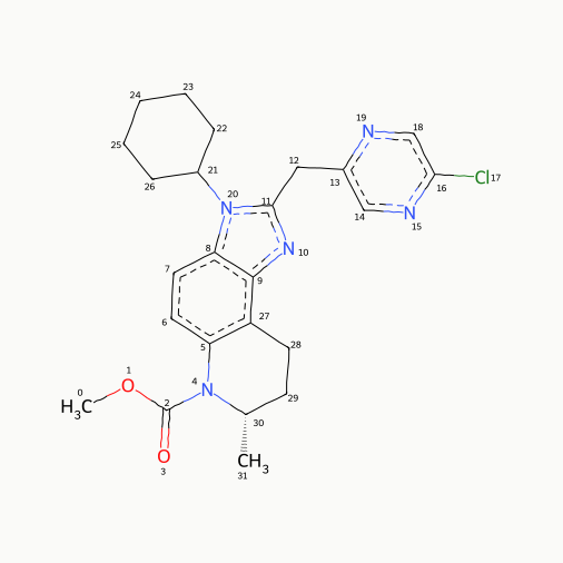 COC(=O)N1c2ccc3c(nc(Cc4cnc(Cl)cn4)n3C3CCCCC3)c2CC[C@@H]1C